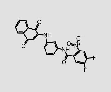 O=C1C=C(Nc2cccc(NC(=O)c3cc(F)c(F)cc3[N+](=O)[O-])c2)C(=O)c2ccccc21